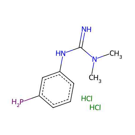 CN(C)C(=N)Nc1cccc(P)c1.Cl.Cl